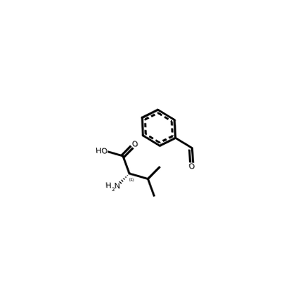 CC(C)[C@H](N)C(=O)O.O=Cc1ccccc1